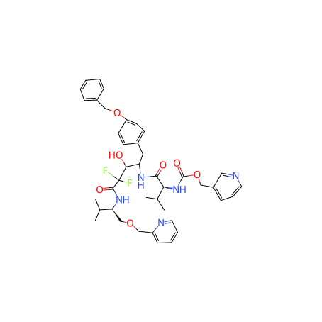 CC(C)[C@H](COCc1ccccn1)NC(=O)C(F)(F)C(O)C(Cc1ccc(OCc2ccccc2)cc1)NC(=O)[C@@H](NC(=O)OCc1cccnc1)C(C)C